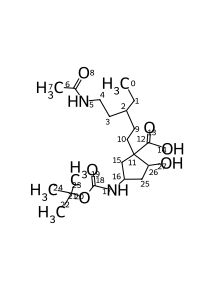 CCC(CCNC(C)=O)CCC1(C(=O)O)CC(NC(=O)OC(C)(C)C)CC1O